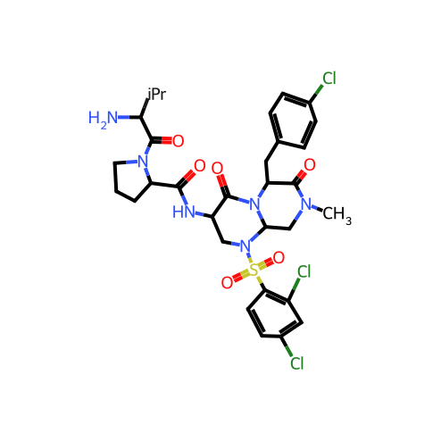 CC(C)C(N)C(=O)N1CCCC1C(=O)NC1CN(S(=O)(=O)c2ccc(Cl)cc2Cl)C2CN(C)C(=O)C(Cc3ccc(Cl)cc3)N2C1=O